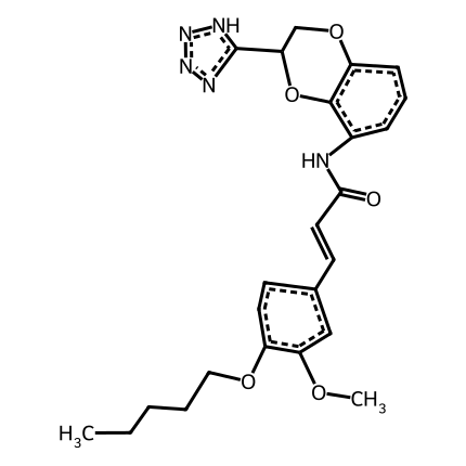 CCCCCOc1ccc(C=CC(=O)Nc2cccc3c2OC(c2nnn[nH]2)CO3)cc1OC